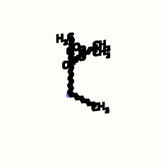 CCCCCCCC/C=C\CCCCCCCC(=O)N(CCOC(=O)CCC)CCOC(=O)CCC(C)C